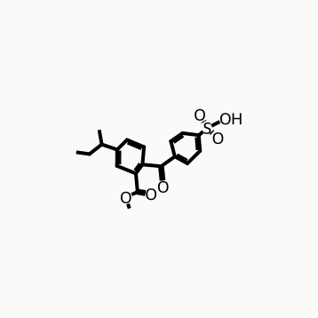 CCC(C)c1ccc(C(=O)c2ccc(S(=O)(=O)O)cc2)c(C(=O)OC)c1